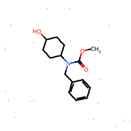 COC(=O)N(Cc1ccccc1)C1CCC(O)CC1